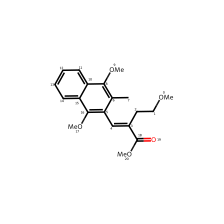 COCC/C(=C\c1c(C)c(OC)c2ccccc2c1OC)C(=O)OC